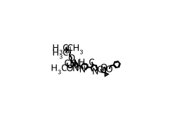 Cc1cc(OCC2(C(=O)OCc3ccccc3)CC2)ncc1-c1ccc(-c2nc(OC(C)C)n(COCC[Si](C)(C)C)n2)nc1